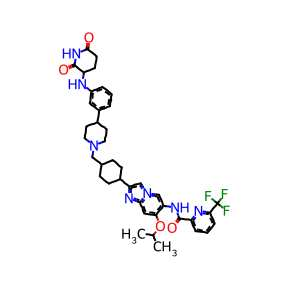 CC(C)Oc1cc2nc(C3CCC(CN4CCC(c5cccc(NC6CCC(=O)NC6=O)c5)CC4)CC3)cn2cc1NC(=O)c1cccc(C(F)(F)F)n1